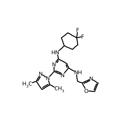 Cc1cc(C)n(-c2nc(NCc3ncco3)cc(NC3CCC(F)(F)CC3)n2)n1